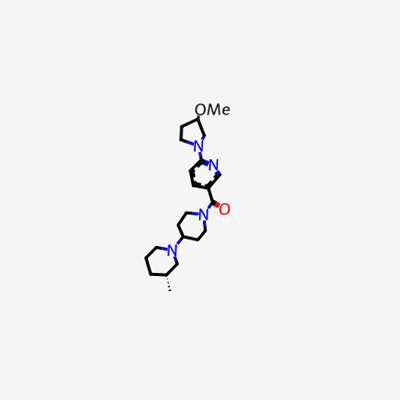 COC1CCN(c2ccc(C(=O)N3CCC(N4CCC[C@@H](C)C4)CC3)cn2)C1